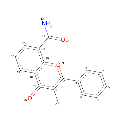 Cc1c(-c2ccccc2)oc2c(C(N)=O)cccc2c1=O